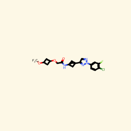 O=C(COC1CC(OC(F)(F)F)C1)NC12CC(c3cnn(-c4ccc(Cl)c(F)c4)n3)(C1)C2